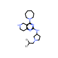 CCC(CC)CN1CCC(Nc2nc3c(c(N4CCCCCC4)n2)CNCC3)C1